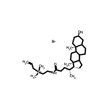 C=CC[N+](C)(C)CCNC(=O)CC[C@@H](C)[C@H]1CCC2C3CCC4C[C@H](O)CC[C@]4(C)C3CC[C@@]21C.[Br-]